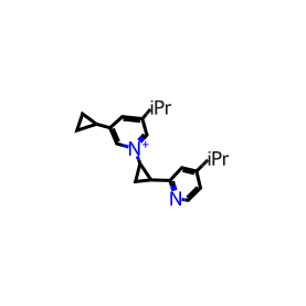 CC(C)c1ccnc(C2CC2[n+]2cc(C(C)C)cc(C3CC3)c2)c1